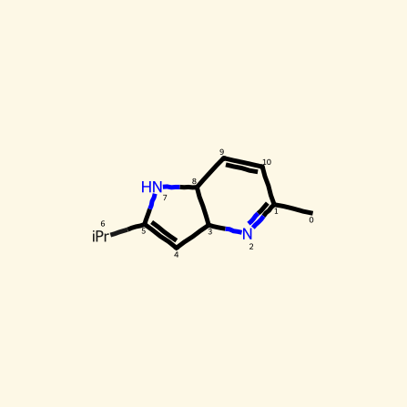 CC1=NC2C=C(C(C)C)NC2C=C1